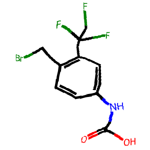 O=C(O)Nc1ccc(CBr)c(C(F)(F)F)c1